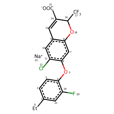 CCc1ccc(Oc2cc3c(cc2Cl)C=C(C(=O)[O-])C(C(F)(F)F)O3)c(F)c1.[Na+]